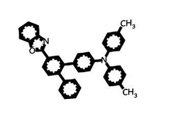 Cc1ccc(N(c2ccc(C)cc2)c2ccc(-c3cc(-c4nc5ccccc5o4)ccc3-c3ccccc3)cc2)cc1